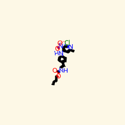 CCCCOC(=O)NCCc1ccc(Nc2cc(C)nc(Cl)c2[N+](=O)[O-])cc1